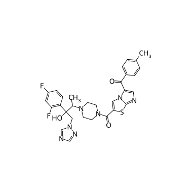 Cc1ccc(C(=O)c2cnc3sc(C(=O)N4CCN(C(C)C(O)(Cn5cncn5)c5ccc(F)cc5F)CC4)cn23)cc1